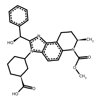 COC(=O)N1c2ccc3c(nc([C@@H](O)c4ccccc4)n3C3CCC[C@H](C(=O)O)C3)c2CC[C@H]1C